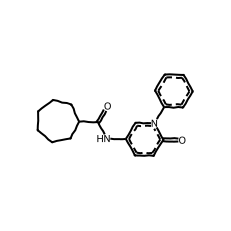 O=C(Nc1ccc(=O)n(-c2ccccc2)c1)C1CCCCCC1